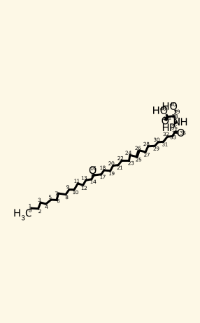 CCCCCCCCCCCCCCCC(=O)CCCCCCCCC=CCCCCCCCC(=O)PN[C@@H](CO)C(=O)O